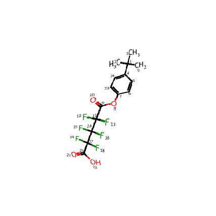 CC(C)(C)c1ccc(OC(=O)C(F)(F)C(F)(F)C(F)(F)C(=O)O)cc1